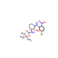 CC(C)(C)OC(=O)N[C@H]1CCC[C@@H](Nc2cc(Br)ccc2[N+](=O)[O-])[C@@H]1O